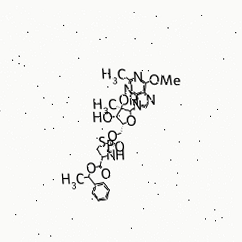 COc1nc(C)nc2c1ncn2C1O[C@H](COP2(=O)NC(C(=O)OC(C)c3ccccc3)CS2)[C@@H](O)[C@@]1(C)O